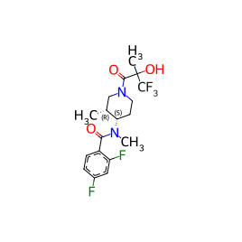 C[C@@H]1CN(C(=O)C(C)(O)C(F)(F)F)CC[C@@H]1N(C)C(=O)c1ccc(F)cc1F